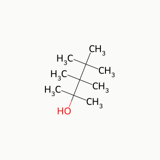 CC(C)(C)C(C)(C)C(C)(C)O